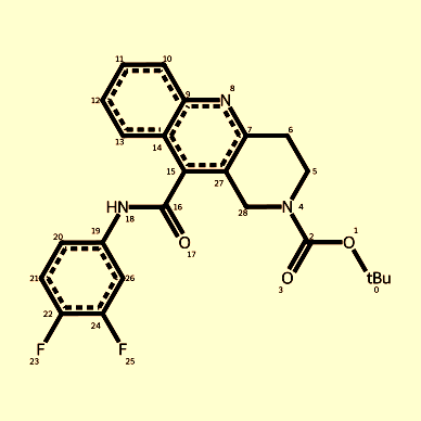 CC(C)(C)OC(=O)N1CCc2nc3ccccc3c(C(=O)Nc3ccc(F)c(F)c3)c2C1